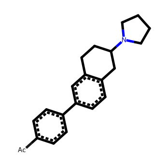 CC(=O)c1ccc(-c2ccc3c(c2)CCC(N2CCCC2)C3)cc1